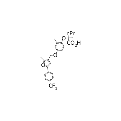 CCCC(C)(Oc1ccc(OCc2cc(-c3ccc(C(F)(F)F)cc3)oc2C)cc1C)C(=O)O